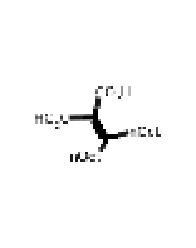 CCCCCCCCC(CCCCCCCC)=C(C(=O)O)C(=O)O